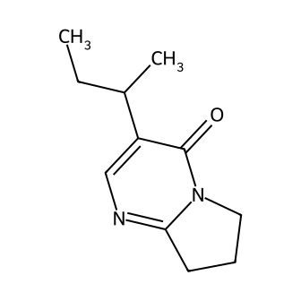 CCC(C)c1cnc2n(c1=O)CCC2